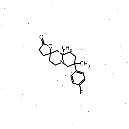 CC1(c2ccc(F)cc2)CCC2(C)CC3(CCC(=O)O3)CCN2C1